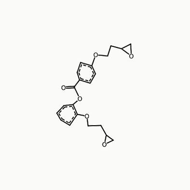 O=C(Oc1ccccc1OCCC1CO1)c1ccc(OCCC2CO2)cc1